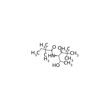 CCC(C)(C)C(=O)N[C@@H](C(=O)C(C)(C)C)C(C)O